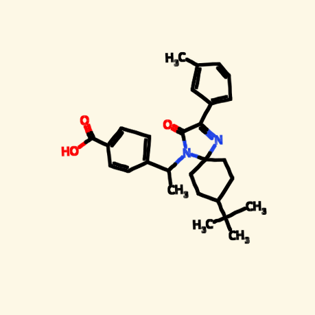 Cc1cccc(C2=NC3(CCC(C(C)(C)C)CC3)N(C(C)c3ccc(C(=O)O)cc3)C2=O)c1